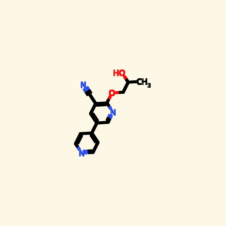 CC(O)COc1ncc(-c2ccncc2)cc1C#N